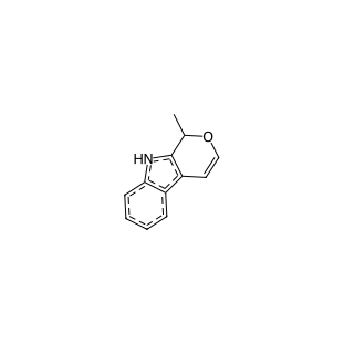 CC1OC=Cc2c1[nH]c1ccccc21